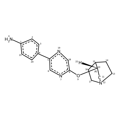 Nc1ccc(-c2cnc(O[C@H]3CN4CCC3CC4)cn2)cc1